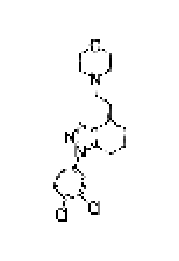 Clc1ccc(-n2ncc3c2CCC/C3=C/CN2CCOCC2)cc1Cl